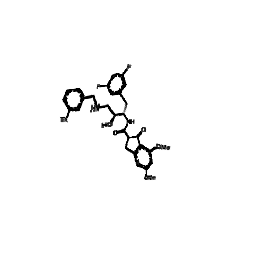 CCc1cccc(CNC[C@H](O)[C@H](Cc2cc(F)cc(F)c2)NC(=O)C2Cc3cc(OC)cc(OC)c3C2=O)c1